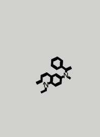 C=C/C=C\c1cc(N(C)C(=C)c2ccccc2)ccc1N(C)CC